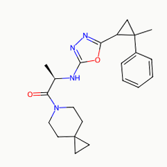 C[C@@H](Nc1nnc(C2CC2(C)c2ccccc2)o1)C(=O)N1CCC2(CC1)CC2